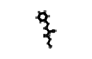 O=C(NCCF)OCc1ccccc1